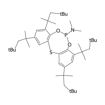 CN(C)P1Oc2c(cc(C(C)(C)CC(C)(C)C)cc2C(C)(C)CC(C)(C)C)Sc2cc(C(C)(C)CC(C)(C)C)cc(C(C)(C)CC(C)(C)C)c2O1